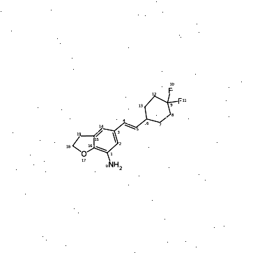 Nc1cc(C=CC2CCC(F)(F)CC2)cc2c1OCC2